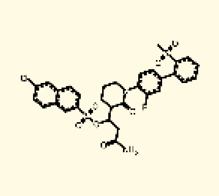 CS(=O)(=O)c1ccccc1-c1ccc(N2CCCC(C(CC(N)=O)OS(=O)(=O)c3ccc4cc(Cl)ccc4c3)C2=O)c(F)c1